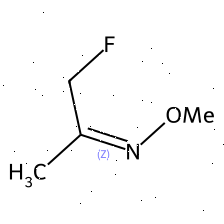 CO/N=C(/C)CF